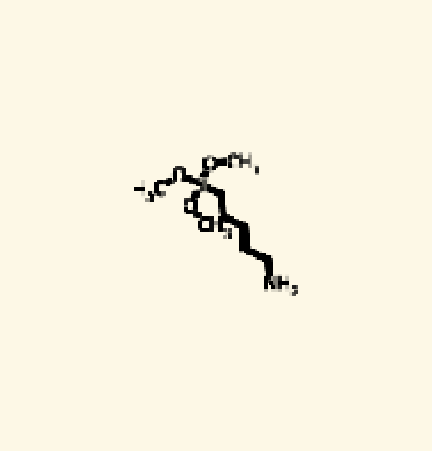 CO[Si](CCC=CCN)(OC)OC